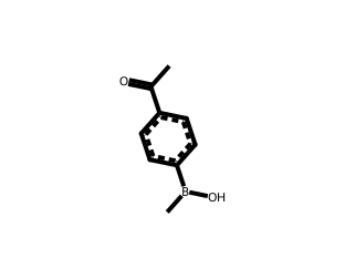 CB(O)c1ccc(C(C)=O)cc1